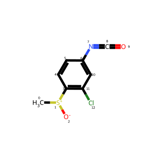 C[S+]([O-])c1ccc(N=C=O)cc1Cl